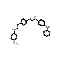 Nc1ccc(NCCc2ccc(CCNc3ccc(Nc4ccccc4)cc3)cc2)cc1